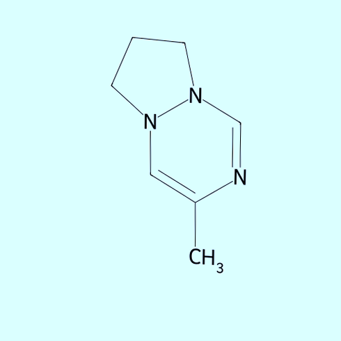 CC1=CN2CCCN2C=N1